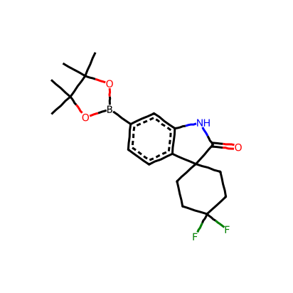 CC1(C)OB(c2ccc3c(c2)NC(=O)C32CCC(F)(F)CC2)OC1(C)C